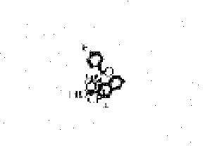 O=C(Nc1c(C(O)(C(F)(F)F)C(F)(F)F)ccc2ccccc12)c1ccc(F)cc1